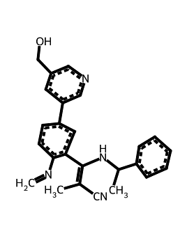 C=Nc1ccc(-c2cncc(CO)c2)cc1/C(NC(C)c1ccccc1)=C(\C)C#N